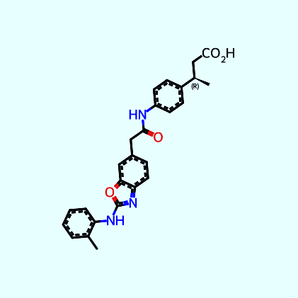 Cc1ccccc1Nc1nc2ccc(CC(=O)Nc3ccc([C@H](C)CC(=O)O)cc3)cc2o1